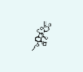 CCCOc1ccc2c(c1N1CCC1)C(=O)N(C1CCC(=O)NC1=O)C2=O